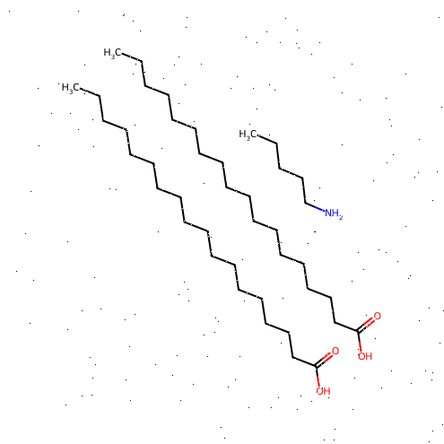 CCCCCCCCCCCCCCCCCC(=O)O.CCCCCCCCCCCCCCCCCC(=O)O.CCCCCN